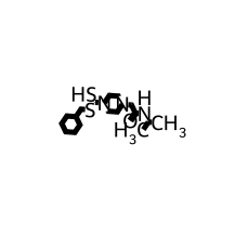 CC(C)NC(=O)CN1CCN(C(S)SCC2CCCCC2)CC1